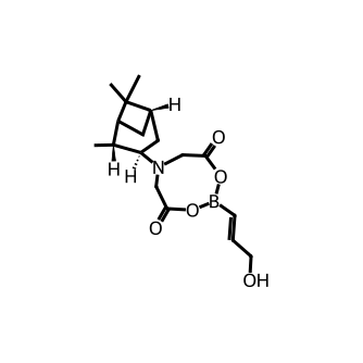 C[C@@H]1C2C[C@@H](C[C@H]1N1CC(=O)OB(/C=C/CO)OC(=O)C1)C2(C)C